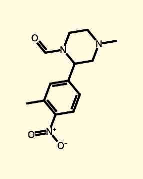 Cc1cc(C2CN(C)CCN2C=O)ccc1[N+](=O)[O-]